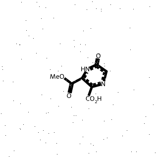 COC(=O)c1[nH]c(=O)cnc1C(=O)O